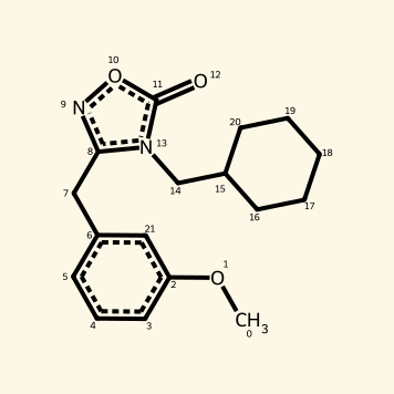 COc1cccc(Cc2noc(=O)n2CC2CCCCC2)c1